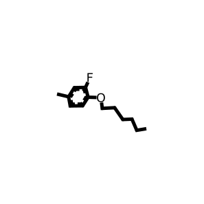 CCCCCCOc1ccc(C)cc1F